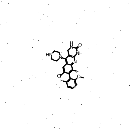 COc1cccc(F)c1-c1c(Cl)cc2c(N3CCNCC3)c3c(nc2c1F)NC(=O)NC3